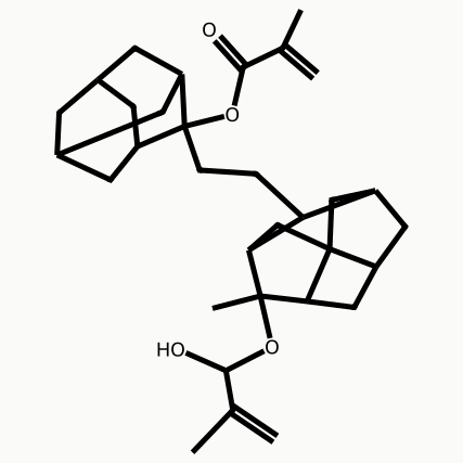 C=C(C)C(=O)OC1(CCC2C3CC4CC5C4(C3)CC2C5(C)OC(O)C(=C)C)C2CC3CC(C2)CC1C3